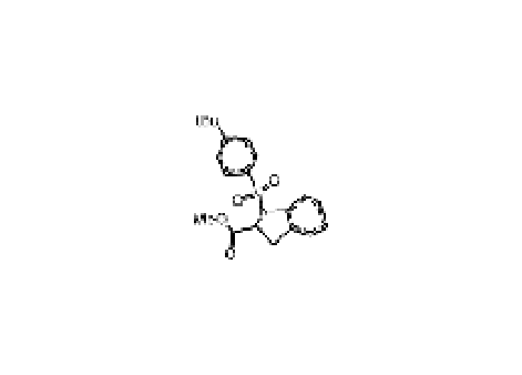 COC(=O)C1Cc2ccccc2N1S(=O)(=O)c1ccc(C(C)(C)C)cc1